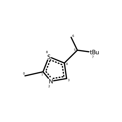 Cc1ncc(C(C)C(C)(C)C)s1